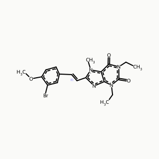 CCn1c(=O)c2c(nc(/C=C/c3ccc(OC)c(Br)c3)n2C)n(CC)c1=O